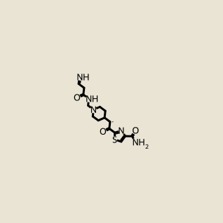 N=CCC(=O)NCN1CCC([CH]C(=O)c2nc(C(N)=O)cs2)CC1